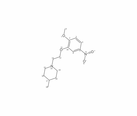 COc1ccc([N+](=O)[O-])cc1OCCN1CCC(C)CC1